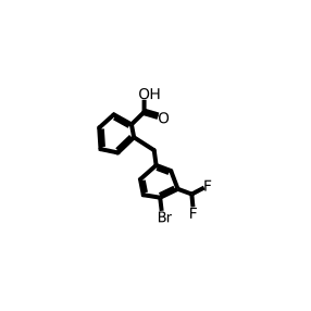 O=C(O)c1ccccc1Cc1ccc(Br)c(C(F)F)c1